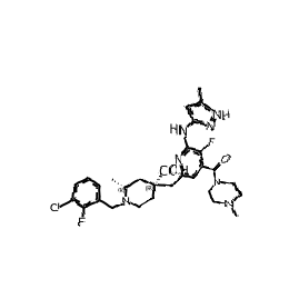 Cc1cc(Nc2nc(C[C@@]3(C(=O)O)CCN(Cc4cccc(Cl)c4F)[C@H](C)C3)cc(C(=O)N3CCN(C)CC3)c2F)n[nH]1